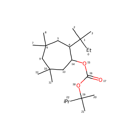 CCC(C)(C)C1CC(C)(C)CC(C)(C)CC1OC(=O)OC(C)(C)C(C)C